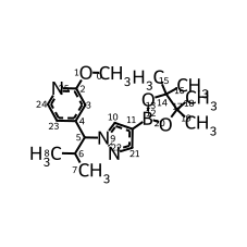 COc1cc(C(C(C)C)n2cc(B3OC(C)(C)C(C)(C)O3)cn2)ccn1